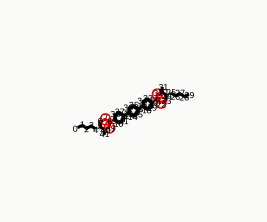 CCCCC[C@@H]1CO[C@@H](c2ccc(-c3ccc(-c4ccc([C@@H]5OC[C@@H](CCCCC)C(C)O5)cc4)cc3)cc2)OC1C